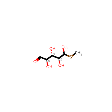 CSC(O)[C@@H](O)[C@@H](O)[C@@H](O)C=O